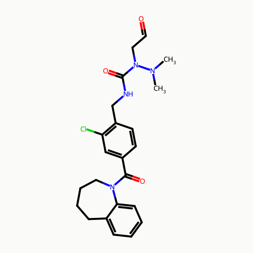 CN(C)N(CC=O)C(=O)NCc1ccc(C(=O)N2CCCCc3ccccc32)cc1Cl